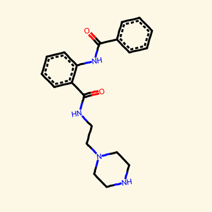 O=C(Nc1ccccc1C(=O)NCCN1CCNCC1)c1ccccc1